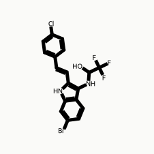 OC(Nc1c(/C=C/c2ccc(Cl)cc2)[nH]c2cc(Br)ccc12)C(F)(F)F